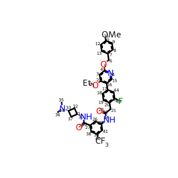 CCOc1cc(OCc2ccc(OC)cc2)ncc1-c1ccc(CC(=O)Nc2cc(C(=O)N[C@H]3C[C@@H](N(C)C)C3)cc(C(F)(F)F)c2)c(F)c1